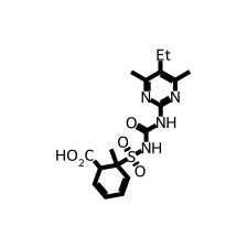 CCc1c(C)nc(NC(=O)NS(=O)(=O)C2(C)C=CC=CC2C(=O)O)nc1C